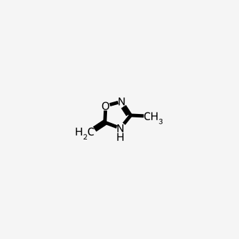 C=C1NC(C)=NO1